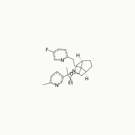 CCOCC1(CCc2ccc(F)cn2)[C@@H]2CC[C@H]1CN(C(C)(C)c1ccc(C)nc1)C2